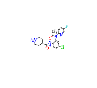 O=C(Nc1ccc(Cl)cc1N(C(=O)C(F)(F)F)c1ccc(F)cn1)C1CCNCC1